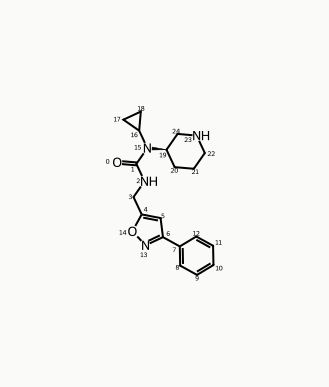 O=C(NCc1cc(-c2ccccc2)no1)N(C1CC1)[C@@H]1CCCNC1